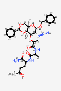 COC(=O)CCC(NC(=O)C(C)NC(=O)C(C)O[C@@H]1[C@@H](N=[N+]=[N-])[C@@H](OCc2ccccc2)O[C@@H]2CO[C@H](c3ccccc3)O[C@@H]12)C(N)=O